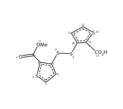 COC(=O)c1sccc1SSc1ccsc1C(=O)O